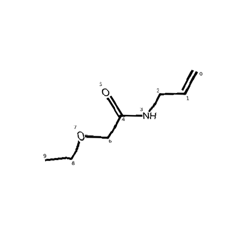 C=CCNC(=O)COCC